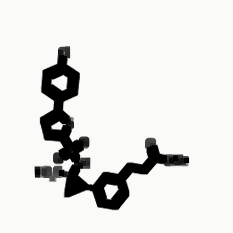 COC(=O)CCc1cccc([C@@H]2C[C@]2(NS(=O)(=O)c2ccc(-c3ccc(Cl)cc3)s2)C(=O)O)c1